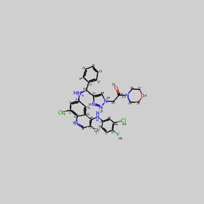 N#Cc1cnc2c(Cl)cc(N[C@@H](c3ccccc3)c3cn(CC(=O)N4CCOCC4)nn3)cc2c1Nc1ccc(F)c(Cl)c1